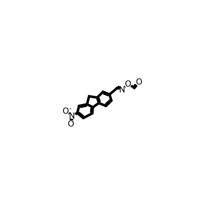 O=CO/N=C/c1ccc2c(c1)Cc1cc([N+](=O)[O-])ccc1-2